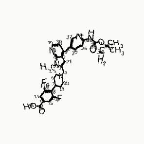 Cn1c(CN2CCC(c3c(F)cc(C(=O)O)cc3F)CC2)cc2c(-c3ccc(NC(=O)OC(C)(C)C)nc3)ccnc21